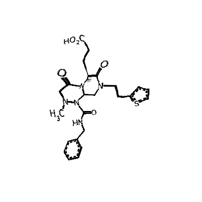 CN1CC(=O)N2C(CN(CCc3cccs3)C(=O)[C@@H]2CCC(=O)O)N1C(=O)NCc1ccccc1